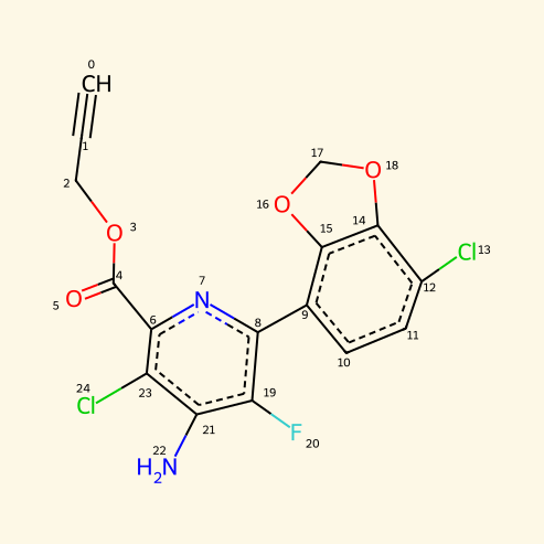 C#CCOC(=O)c1nc(-c2ccc(Cl)c3c2OCO3)c(F)c(N)c1Cl